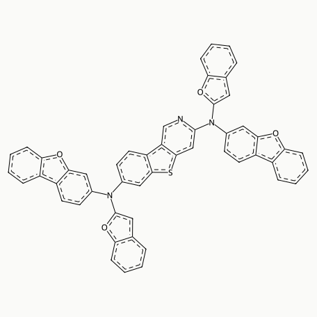 c1ccc2oc(N(c3ccc4c(c3)oc3ccccc34)c3ccc4c(c3)sc3cc(N(c5ccc6c(c5)oc5ccccc56)c5cc6ccccc6o5)ncc34)cc2c1